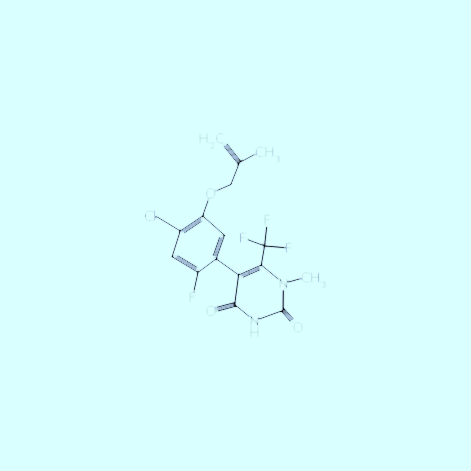 C=C(C)COc1cc(-c2c(C(F)(F)F)n(C)c(=O)[nH]c2=O)c(F)cc1Cl